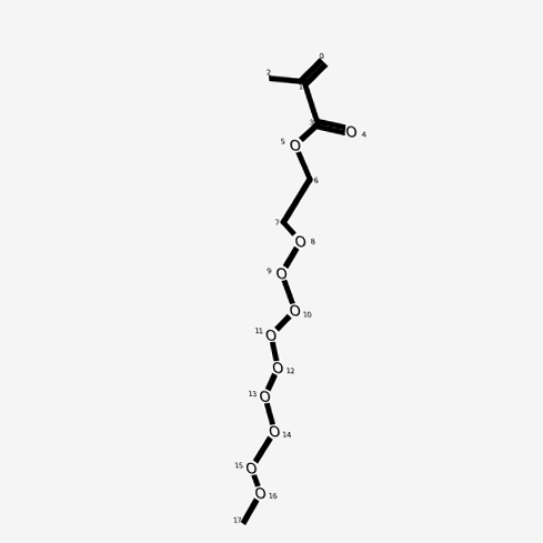 C=C(C)C(=O)OCCOOOOOOOOOC